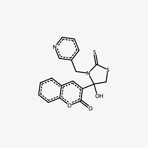 O=c1oc2ccccc2cc1C1(O)CSC(=S)N1Cc1cccnc1